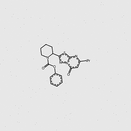 CC(C)c1cc(=O)n2nc(C3CCCCN3C(=O)Oc3ccccc3)sc2n1